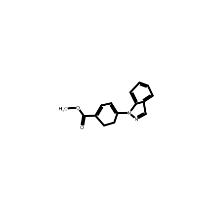 COC(=O)C1=CC=C(n2ncc3ccccc32)CC1